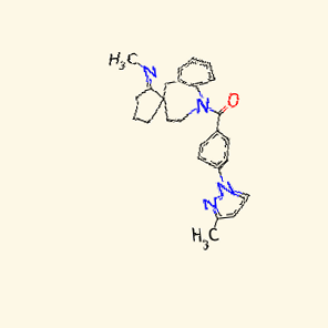 C/N=C1\CCCC12CCN(C(=O)c1ccc(-n3ccc(C)n3)cc1)c1ccccc1C2